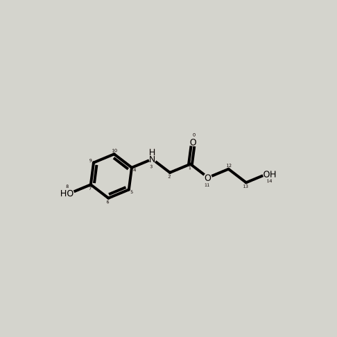 O=C(CNc1ccc(O)cc1)OCCO